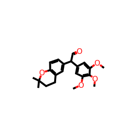 COc1cc(C(C=O)c2ccc3c(c2)CCC(C)(C)O3)cc(OC)c1OC